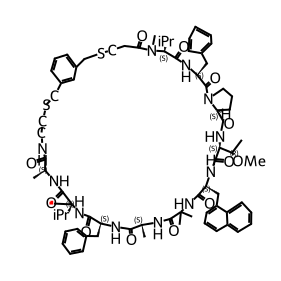 CO[C@H](C)[C@@H]1NC(=O)[C@@H]2CCCN2C(=O)[C@H](Cc2ccccc2)NC(=O)[C@H](C(C)C)N(C)C(=O)CCSCc2cccc(c2)CSCCNC(=O)[C@H](C)NC(=O)[C@](C)(C(C)C)NC(=O)[C@H](Cc2ccccc2)NC(=O)[C@H](C)NC(=O)C(C)(C)NC(=O)[C@H](Cc2cccc3ccccc23)NC1=O